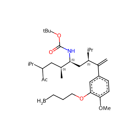 BCCCOc1cc(C(=C)[C@@H](C[C@H](NC(=O)OC(C)(C)C)[C@@H](C)CC(C(C)=O)C(C)C)C(C)C)ccc1OC